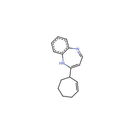 C1=CC(C2=CC=Nc3ccccc3N2)CCCC1